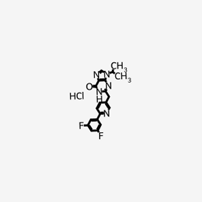 CC(C)n1cnc2c(=O)[nH]c(Cc3ccc(-c4cc(F)cc(F)c4)nc3)nc21.Cl